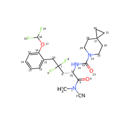 CN(C#N)C(=O)[C@H](CC(F)(F)Cc1ccccc1OC(F)F)NC(=O)N1CCC2(CC1)CC2